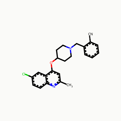 Cc1cc(OC2CCN(Cc3ccccc3C#N)CC2)c2cc(Cl)ccc2n1